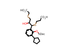 CCCCCCCCCCOc1c(C2CCCC2)cccc1C(SCCC(=O)O)C(O)CSCC(=O)O